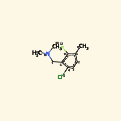 Cc1ccc(Cl)c(CN(C)C)c1F